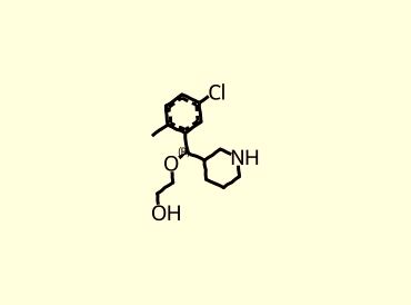 Cc1ccc(Cl)cc1[C@H](OCCO)C1CCCNC1